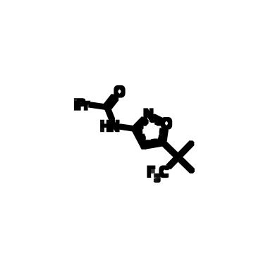 CC(C)C(=O)Nc1cc(C(C)(C)C(F)(F)F)on1